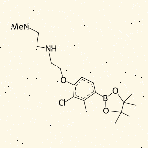 CNCCNCCOc1ccc(B2OC(C)(C)C(C)(C)O2)c(C)c1Cl